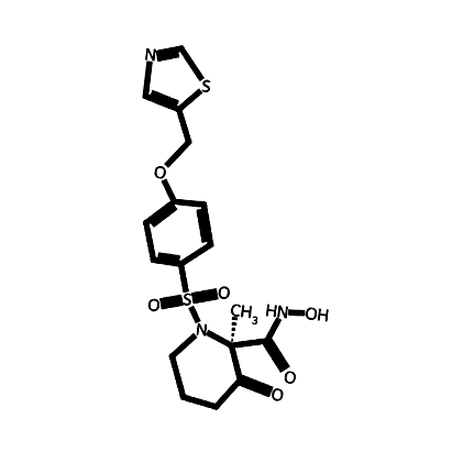 C[C@]1(C(=O)NO)C(=O)CCCN1S(=O)(=O)c1ccc(OCc2cncs2)cc1